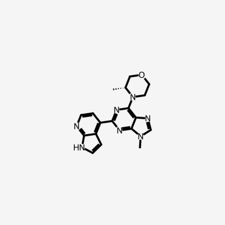 C[C@@H]1COCCN1c1nc(-c2ccnc3[nH]ccc23)nc2c1ncn2C